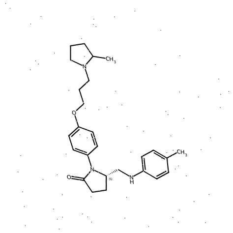 Cc1ccc(NC[C@@H]2CCC(=O)N2c2ccc(OCCCN3CCCC3C)cc2)cc1